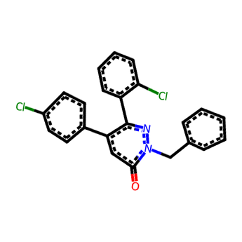 O=c1cc(-c2ccc(Cl)cc2)c(-c2ccccc2Cl)nn1Cc1ccccc1